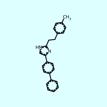 Cc1ccc(CCc2nc(-c3ccc(-c4ccccc4)cc3)c[nH]2)cc1